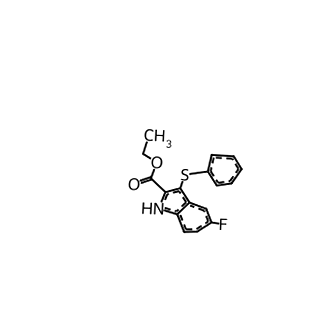 CCOC(=O)c1[nH]c2ccc(F)cc2c1Sc1ccccc1